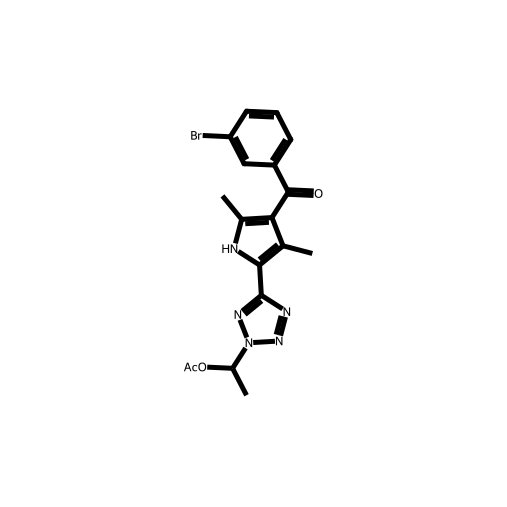 CC(=O)OC(C)n1nnc(-c2[nH]c(C)c(C(=O)c3cccc(Br)c3)c2C)n1